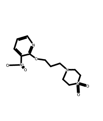 O=[N+]([O-])c1cccnc1OCCCN1CCS(=O)(=O)CC1